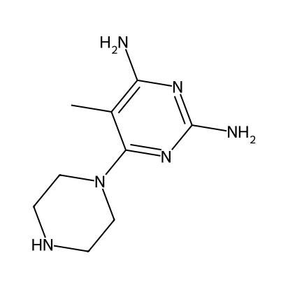 Cc1c(N)nc(N)nc1N1CCNCC1